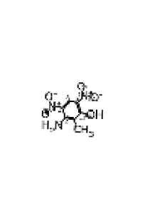 Cc1c(N)c([N+](=O)[O-])cc([N+](=O)[O-])c1O